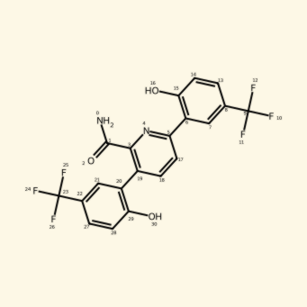 NC(=O)c1nc(-c2cc(C(F)(F)F)ccc2O)ccc1-c1cc(C(F)(F)F)ccc1O